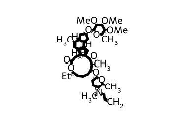 C=CCN(C)[C@H]1CC[C@H](O[C@H]2CCC[C@H](CC)OC(=O)C[C@@H]3C(=C[C@@H]4[C@H]3C=C(C)[C@@H]3C[C@@H](O[C@@H]5OC(C)[C@H](OC)C(OC)C5OC)C[C@@H]43)C(=O)[C@@H]2C)OC1C